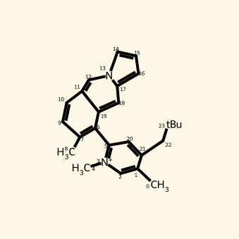 Cc1c[n+](C)c(-c2c(C)ccc3cn4cccc4cc23)cc1CC(C)(C)C